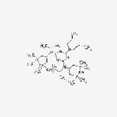 CCCN(CCC)c1nc(N(C(C)C)C2CC(C)(C)NC(C)(C)C2)nc(N(C(C)C)C2CC(C)(C)NC(C)(C)C2)n1